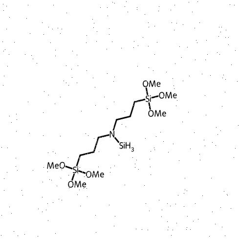 CO[Si](CCCN([SiH3])CCC[Si](OC)(OC)OC)(OC)OC